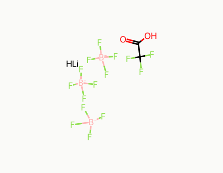 F[B-](F)(F)F.F[B-](F)(F)F.F[B-](F)(F)F.O=C(O)C(F)(F)F.[LiH]